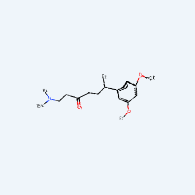 CCOc1cc(OCC)cc(C(CC)CCC(=O)CCN(CC)CC)c1